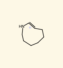 C1=C/NCCCCCC/1